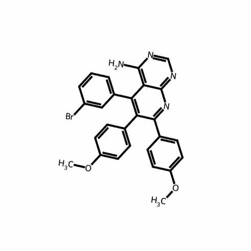 COc1ccc(-c2nc3ncnc(N)c3c(-c3cccc(Br)c3)c2-c2ccc(OC)cc2)cc1